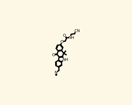 C=NCc1ccc2c3c([nH]c2c1)C(C)(C)c1cc(OCC(=O)NCCC#N)ccc1C3=O